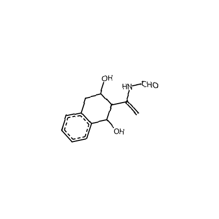 C=C(NC=O)C1C(O)Cc2ccccc2C1O